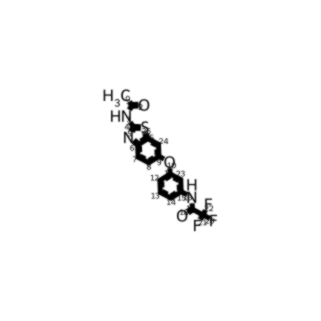 CC(=O)Nc1nc2ccc(Oc3cccc(NC(=O)C(F)(F)F)c3)cc2s1